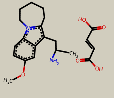 COc1ccc2c(c1)c(CC(C)N)c1n2CCCCC1.O=C(O)C=CC(=O)O